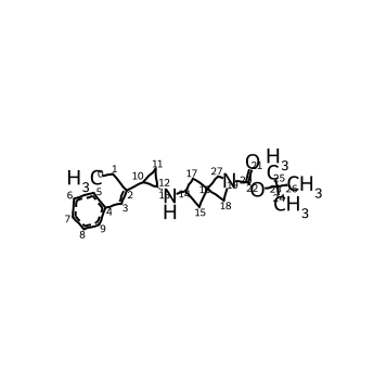 CCC(=Cc1ccccc1)C1C[C@@H]1NC1CC2(C1)CN(C(=O)OC(C)(C)C)C2